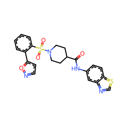 O=C(Nc1ccc2scnc2c1)C1CCN(S(=O)(=O)c2ccccc2-c2ccno2)CC1